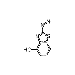 [N]=Nc1nc2c(O)cccc2s1